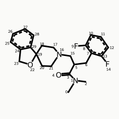 CN(C)C(=O)C(Cc1c(F)cccc1F)CN1CCC2(CC1)OCc1ccccc12